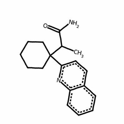 CC(C(N)=O)C1(c2ccc3ccccc3n2)CCCCC1